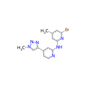 Cc1cc(Br)nc(Nc2cc(-c3cn(C)nn3)ccn2)c1